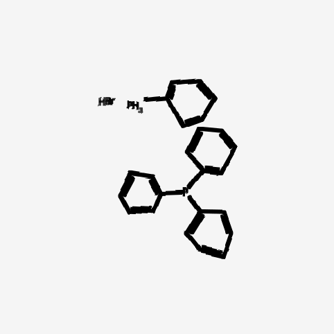 Br.Cc1ccccc1.P.c1ccc(P(c2ccccc2)c2ccccc2)cc1